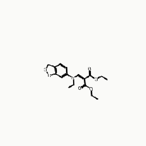 CCOC(=O)C(=CN(CC)c1ccc2c(c1)OOC2)C(=O)OCC